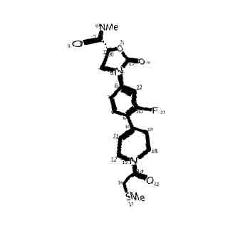 CNC(=O)[C@H]1CN(c2ccc(C3=CCN(C(=O)CSC)CC3)c(F)c2)C(=O)O1